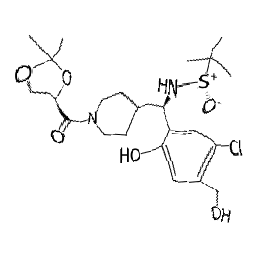 CC1(C)OC[C@H](C(=O)N2CCC([C@@H](N[S@@+]([O-])C(C)(C)C)c3cc(Cl)c(CO)cc3O)CC2)O1